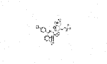 O=C1Nc2c(cccc2C2CC2)C(c2ccc(Cl)cc2)=N[C@@H]1NC(=O)[C@H](CCC(F)(F)F)[C@H](CC1CC1)C(=O)O